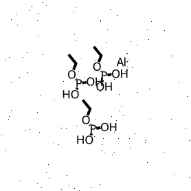 CCOP(O)O.CCOP(O)O.CCOP(O)O.[Al]